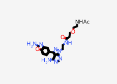 CC(=O)NCCOCCC(=O)NCCn1nc(-c2ccc3oc(N)nc3c2)c2c(N)ncnc21